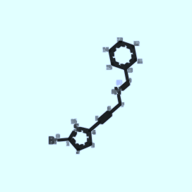 Brc1ccc(C#CC/N=C/c2ccccc2)s1